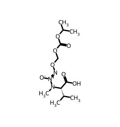 CC(C)OC(=O)OCO/N=[N+](\[O-])N(C)[C@H](C(=O)O)C(C)C